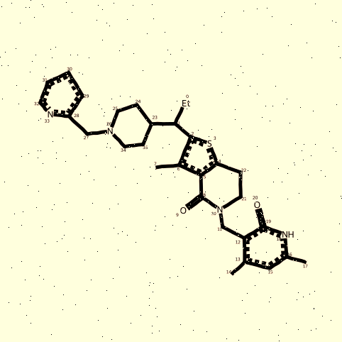 CCC(c1sc2c(c1C)C(=O)N(Cc1c(C)cc(C)[nH]c1=O)CC2)C1CCN(Cc2ccccn2)CC1